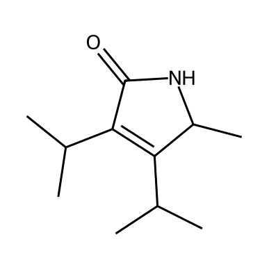 CC(C)C1=C(C(C)C)C(C)NC1=O